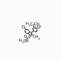 COC(=O)Cn1c(C)c(-c2ccc(=O)n(C(C)C)c2)c2cc(Cl)ccc21